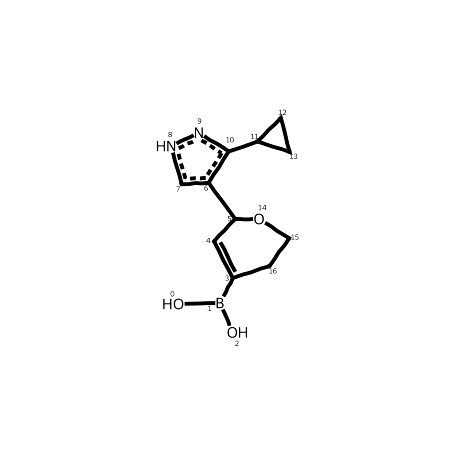 OB(O)C1=CC(c2c[nH]nc2C2CC2)OCC1